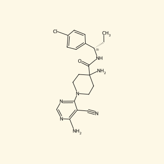 CC[C@H](NC(=O)C1(N)CCN(c2ncnc(N)c2C#N)CC1)c1ccc(Cl)cc1